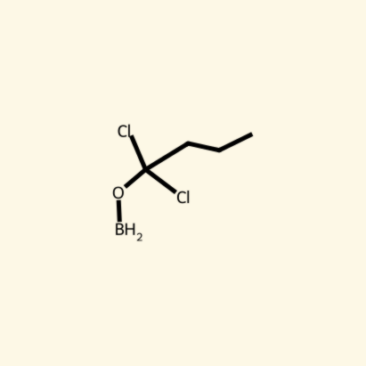 BOC(Cl)(Cl)CCC